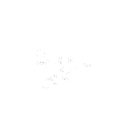 [C-]#[N+]c1c(C2CCNCC2)cc(Nc2cc(C)[nH]n2)nc1NCCOc1ccccc1OC